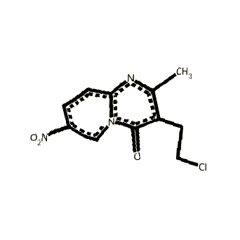 Cc1nc2ccc([N+](=O)[O-])cn2c(=O)c1CCCl